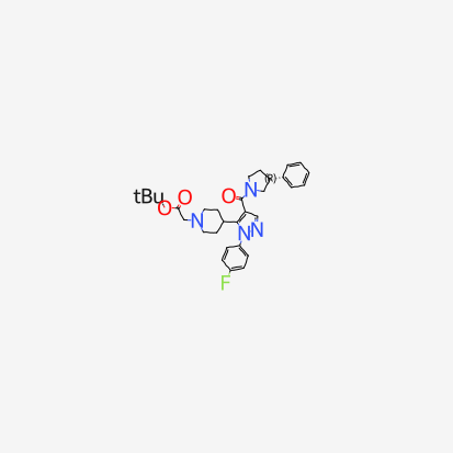 CC(C)(C)OC(=O)CN1CCC(c2c(C(=O)N3CC[C@H](c4ccccc4)C3)cnn2-c2ccc(F)cc2)CC1